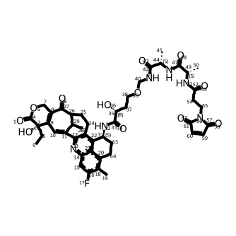 CC[C@@]1(O)C(=O)OCC2=C1C=C1c3nc4cc(F)c(C)c5c4c(c3CCC(C2=O)C1C)[C@@H](NC(=O)[C@H](O)CCOCNC(=O)[C@H](C)NC(=O)[C@H](C)NC(=O)CCN1C(=O)C=CC1=O)CC5